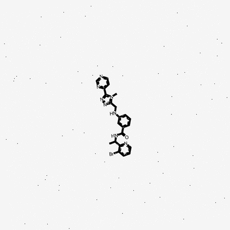 CC(NC(=O)c1cccc(NCc2nnc(-c3ccncn3)n2C)c1)c1ncccc1Br